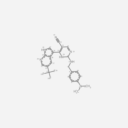 CN(C)c1ccc(CNC2N=CC(C#N)=C(c3c[nH]c4ncc(C(F)(F)F)cc34)N2)cc1